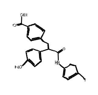 COC(=O)c1ccc(CC(C(=O)NC2=CC=C(I)CC2)c2ccc(O)cc2)cc1